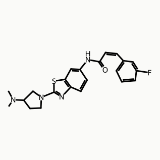 CN(C)C1CCN(c2nc3ccc(NC(=O)/C=C\c4cccc(F)c4)cc3s2)C1